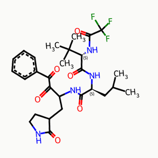 CC(C)C[C@H](NC(=O)[C@@H](NC(=O)C(F)(F)F)C(C)(C)C)C(=O)NC(CC1CCNC1=O)C(=O)C(=O)c1ccccc1